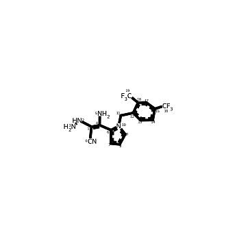 N#C/C(NN)=C(/N)c1cccn1Cc1ccc(C(F)(F)F)cc1C(F)(F)F